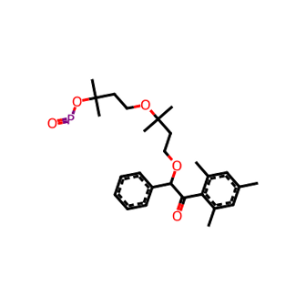 Cc1cc(C)c(C(=O)C(OCCC(C)(C)OCCC(C)(C)OP=O)c2ccccc2)c(C)c1